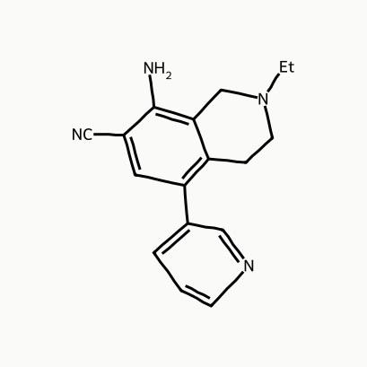 CCN1CCc2c(-c3cccnc3)cc(C#N)c(N)c2C1